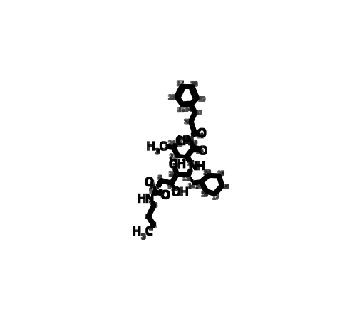 CCCCNS(=O)(=O)C[C@@H](O)C(O)[C@@H](CC1CCCCC1)N[C@@H](CC(C)C)C(=O)NC(=O)CCc1ccccc1